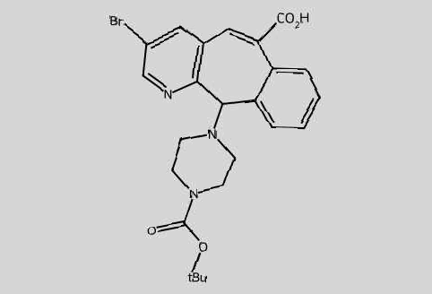 CC(C)(C)OC(=O)N1CCN(C2c3ccccc3C(C(=O)O)=Cc3cc(Br)cnc32)CC1